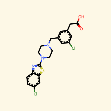 O=C(O)Cc1cc(Cl)cc(CN2CCN(c3nc4ccc(Cl)cc4s3)CC2)c1